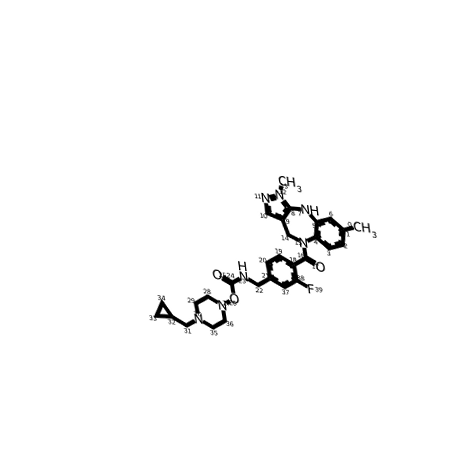 Cc1ccc2c(c1)Nc1c(cnn1C)CN2C(=O)c1ccc(CNC(=O)ON2CCN(CC3CC3)CC2)cc1F